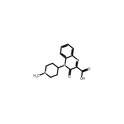 CN1CCC(n2c(=O)c(C(=O)O)nc3ccccc32)CC1